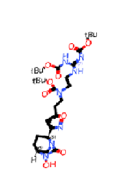 CC(C)(C)OC(=O)/N=C(/NCCN(CCc1cc([C@@H]2CC[C@H]3CN2C(=O)N3O)no1)C(=O)OC(C)(C)C)NC(=O)OC(C)(C)C